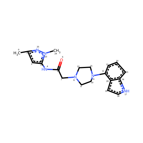 Cc1cc(NC(=O)CN2CCN(c3cccc4[nH]ccc34)CC2)n(C)n1